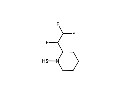 FC(F)C(F)C1CCCCN1S